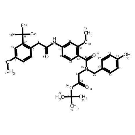 COc1ccc(CC(=O)Nc2ccc(C(=O)N(CC(=O)OC(C)(C)C)Cc3ccc(O)cc3)c(OC)c2)c(C(F)(F)F)c1